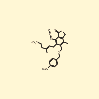 COc1ccc(COCc2c(C)c3c(c(N=C=O)c2C/C=C(\C)CCC(=O)O)C(=O)OC3)cc1